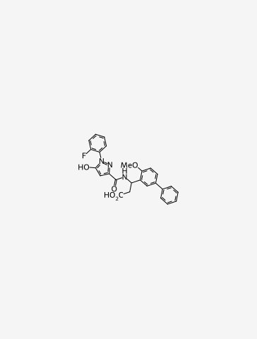 COc1ccc(-c2ccccc2)cc1C(CC(=O)O)NC(=O)c1cc(O)n(-c2ccccc2F)n1